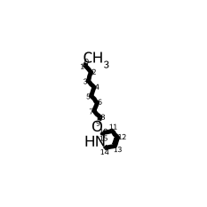 CCCCCCCCCOC1CC=CCN1